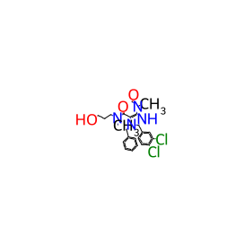 CN(C=O)C1=C(C(=O)N(C)CCCO)N(Cc2ccccc2)C(c2ccc(Cl)c(Cl)c2)N1